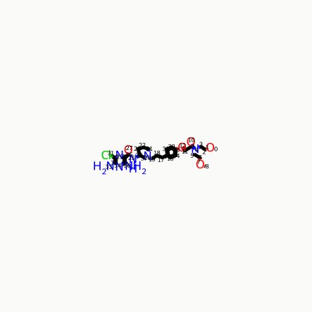 COCCN(CCOC)C(=O)COc1ccc(CCCN2CCCC(NC(=O)c3nc(Cl)c(N)nc3N)C2)cc1